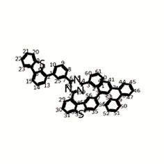 c1ccc(-c2nc(-c3cccc(-c4cccc5c4sc4ccccc45)c3)nc(-c3cccc4sc5ccc(-c6cccc(-c7ccccc7-c7ccccc7)c6)cc5c34)n2)cc1